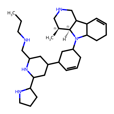 CCCNCC1CC(C2C=CCC(N3C4CCC=CC4C4CNC[C@H](C)[C@@H]43)C2)CC(C2CCCN2)N1